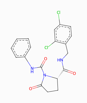 O=C(NCc1ccc(Cl)cc1Cl)[C@@H]1CCC(=O)N1C(=O)Nc1ccccc1